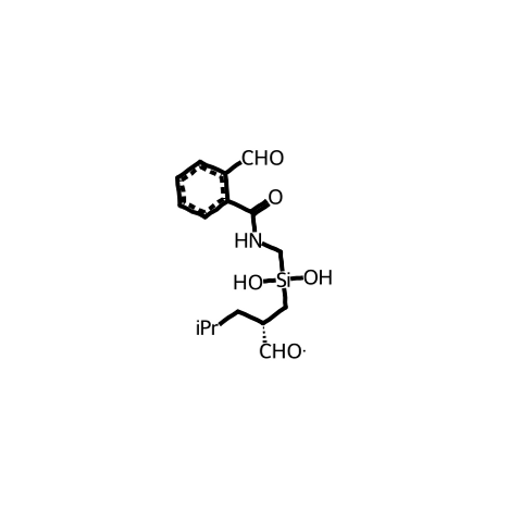 CC(C)C[C@@H]([C]=O)C[Si](O)(O)CNC(=O)c1ccccc1C=O